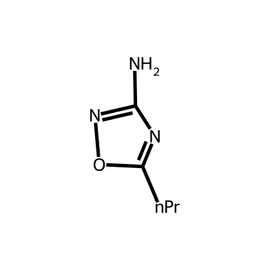 CCCc1nc(N)no1